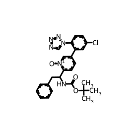 CC(C)(C)OC(=O)NC(Cc1ccccc1)c1ccc(-c2cc(Cl)ccc2-n2cnnn2)c[n+]1[O-]